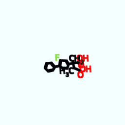 CC(C(=O)O)C(C)(C(=O)O)c1ccc(-c2ccccc2)c(F)c1